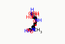 Cn1nc(C2CCC(=O)NC2=O)c2ccc(C3CCC(CC(=O)Nc4ccc5c(F)c(N6CC(=O)NS6(O)O)c(O)cc5c4)CC3)cc21